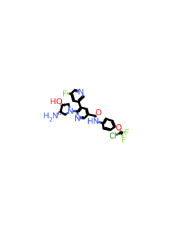 N[C@H]1CN(c2ncc(C(=O)Nc3ccc(OC(F)(F)Cl)cc3)cc2-c2cncc(F)c2)C[C@@H]1O